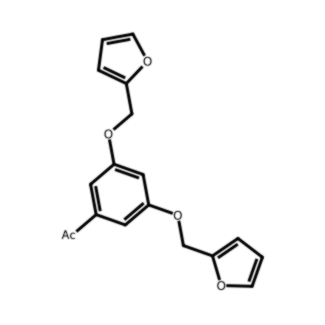 CC(=O)c1cc(OCc2ccco2)cc(OCc2ccco2)c1